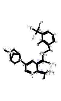 C/C(N)=c1\ncc(N2CC3CC2CN3C)c\c1=C(\N)NCc1cccc(C(F)(F)F)c1C